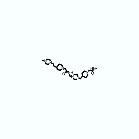 CNC(=O)CN1CCC(CN2CCN(CNC(=O)CN3CCC(CCN4CCN(C)CC4)CC3)CC2)CC1